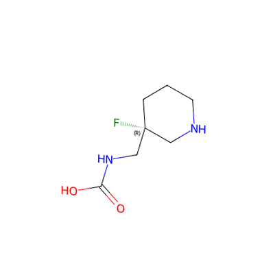 O=C(O)NC[C@@]1(F)CCCNC1